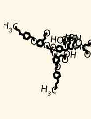 CCCCc1ccc(COc2ccc(OCC(COc3ccc(OCc4ccc(CCCC)cc4)cc3CC(=O)O)Oc3ccc(CC(CN(CCN(CC=O)CC=O)CC(=O)O)N(CC(=O)O)CC(=O)O)cc3)c(CC=O)c2)cc1